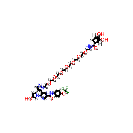 O=C(Nc1ccc(OC(F)(F)F)cc1)c1cnc(N2CC[C@@H](O)C2)c(-c2ccnn2CCOCCOCCOCCOCCOCCOCCOCCNC(=O)[C@H]2C[C@@H]3C[C@H]2[C@@H](O)[C@H]3O)c1